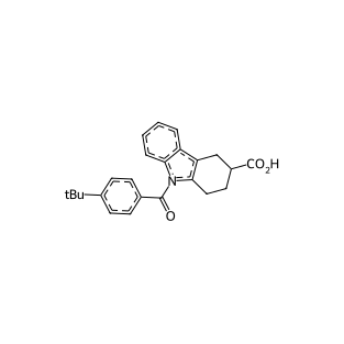 CC(C)(C)c1ccc(C(=O)n2c3c(c4ccccc42)CC(C(=O)O)CC3)cc1